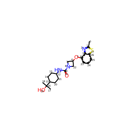 Cc1nc2c(OC3CN(C(=O)NC4CCC(C(C)(C)O)CC4)C3)cccc2s1